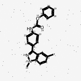 Cc1ccc2c(c1)c(-c1ccc(NC(=O)Oc3ccccc3)cc1)nn2C